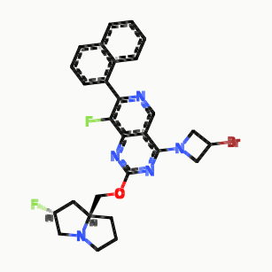 Fc1c(-c2cccc3ccccc23)ncc2c(N3CC(Br)C3)nc(OC[C@@]34CCCN3C[C@H](F)C4)nc12